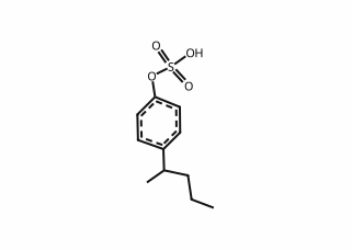 CCCC(C)c1ccc(OS(=O)(=O)O)cc1